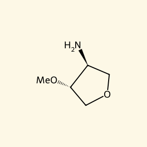 CO[C@H]1COC[C@@H]1N